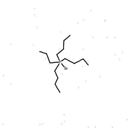 CCCCP(Br)(CCC)(CCCC)CCCC